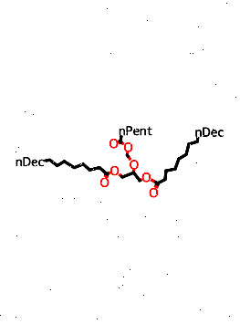 CCCCCCCCCCCCCCCCCC(=O)OCC(COC(=O)CCCCCCCCCCCCCCCCC)OCOC(=O)CCCCC